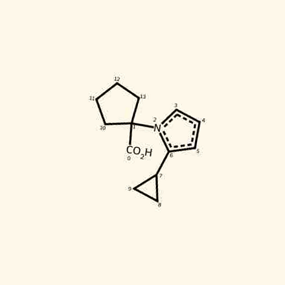 O=C(O)C1(n2cccc2C2CC2)CCCC1